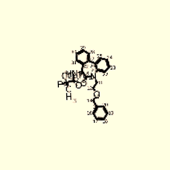 C[C@@](F)(C(=O)O)C(=O)N[C@@H]1C(=O)N(CCOCc2ccccc2)c2ccccc2-c2ccccc21